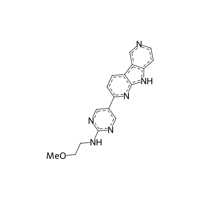 COCCNc1ncc(-c2ccc3c(n2)[nH]c2ccncc23)cn1